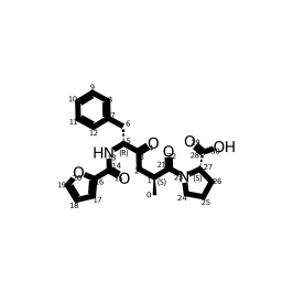 C[C@@H](CC(=O)[C@@H](Cc1ccccc1)NC(=O)c1ccco1)C(=O)N1CCC[C@H]1C(=O)O